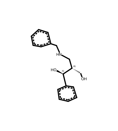 OC[C@@H](CNCc1ccccc1)[C@H](O)c1ccccc1